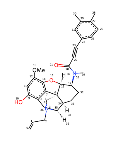 C=CCN1CC[C@]23c4c5c(O)cc(OC)c4O[C@H]2[C@@H](N(C)C(=O)C#Cc2ccc(C)c(C)c2)CC[C@H]3[C@H]1C5